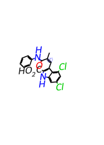 C/C(=C/c1c(C(=O)O)[nH]c2cc(Cl)cc(Cl)c12)C(=O)Nc1ccccc1